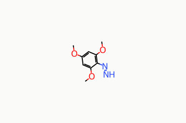 COc1cc(OC)c(N=N)c(OC)c1